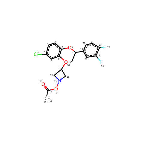 CC(Oc1ccc(Cl)cc1OC1CN(OC(=O)C(F)(F)F)C1)c1ccc(F)c(F)c1